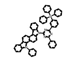 c1ccc(-c2nc(-c3cccc([Si](c4ccccc4)(c4ccccc4)c4ccccc4)c3)nc(-n3c4ccccc4c4c5ccc6c7ccccc7n(-c7ccccc7)c6c5ccc43)n2)cc1